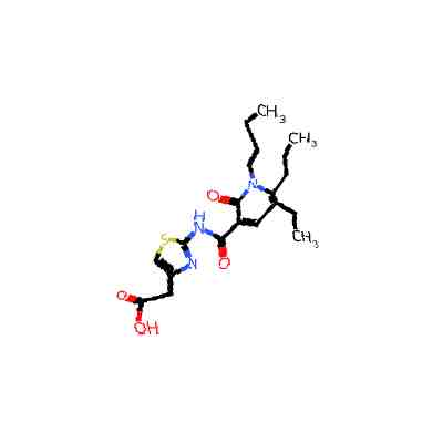 CCCCn1c(CCC)c(CC)cc(C(=O)Nc2nc(CC(=O)O)cs2)c1=O